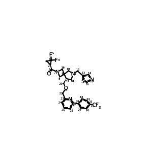 O=C([C@H]1CC1(F)F)N1CC2(CN(Cc3cncs3)C[C@H]2COCc2cccc(-c3ccc(C(F)(F)F)cc3)n2)C1